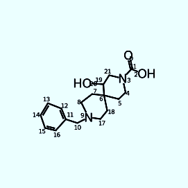 O=C(O)N1CCC2(CCN(Cc3ccccc3)CC2)C(O)C1